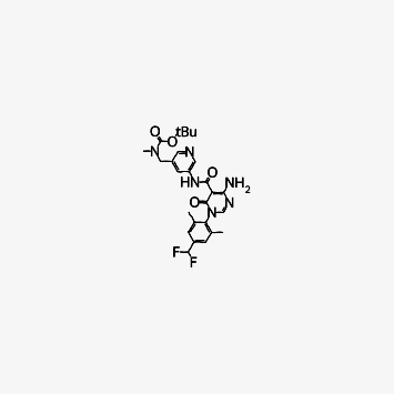 Cc1cc(C(F)F)cc(C)c1-n1cnc(N)c(C(=O)Nc2cncc(CN(C)C(=O)OC(C)(C)C)c2)c1=O